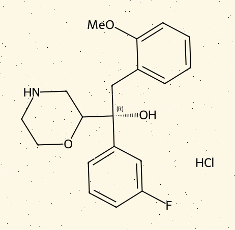 COc1ccccc1C[C@@](O)(c1cccc(F)c1)C1CNCCO1.Cl